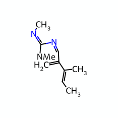 C=C(/C=N\C(=N/C)NC)/C(C)=C/C